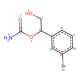 NC(=O)OC(CO)c1cccc(Br)c1